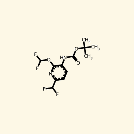 CC(C)(C)OC(=O)Nc1ccc(C(F)F)nc1OC(F)F